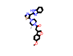 COc1ccc2c(CC(=O)N3CCN(c4scnc4-c4nc5ccccc5[nH]4)C[C@H]3C)coc2c1